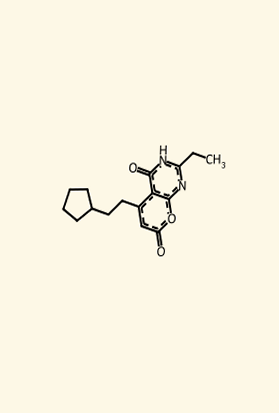 CCc1nc2oc(=O)cc(CCC3CCCC3)c2c(=O)[nH]1